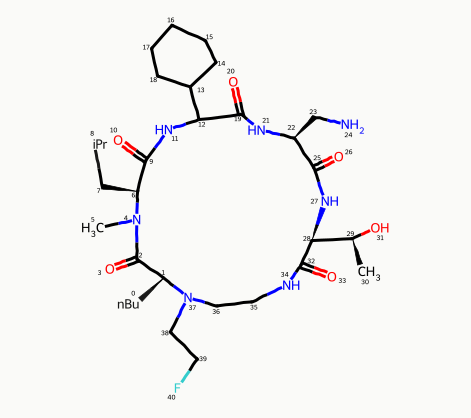 CCCC[C@H]1C(=O)N(C)[C@@H](CC(C)C)C(=O)NC(C2CCCCC2)C(=O)N[C@@H](CN)C(=O)N[C@@H]([C@H](C)O)C(=O)NCCN1CCF